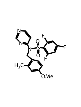 COc1ccc(CN(c2ccncn2)S(=O)(=O)c2c(F)cc(F)cc2F)c(C)c1